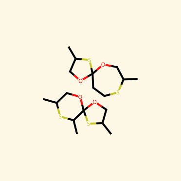 CC1COC2(CCS1)OCC(C)S2.CC1COC2(OCC(C)S2)C(C)S1